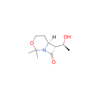 C[C@H](O)[C@@H]1C(=O)N2[C@H]1CCOC2(C)C